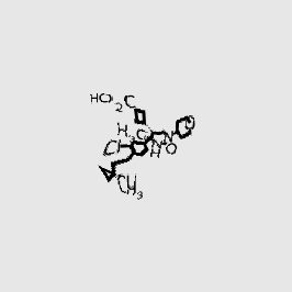 CC1(CCc2ccc([C@]3(C)NC(=O)N(C4CCOCC4)C=C3[C@H]3C[C@@H](C(=O)O)C3)cc2Cl)CC1